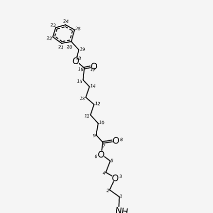 NCCOCCOC(=O)CCCCCCCC(=O)OCc1ccccc1